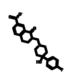 O=C1c2cc([N+](=O)[O-])ccc2CCC1CN1CCC(O)(c2ccc(F)cc2)CC1